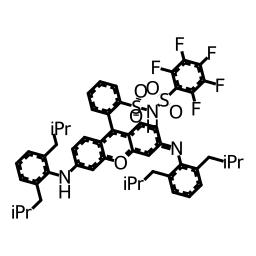 CC(C)Cc1cccc(CC(C)C)c1/N=c1/ccc2c(-c3ccccc3S(=O)(=O)NS(=O)(=O)c3c(F)c(F)c(F)c(F)c3F)c3ccc(Nc4c(CC(C)C)cccc4CC(C)C)cc3oc-2c1